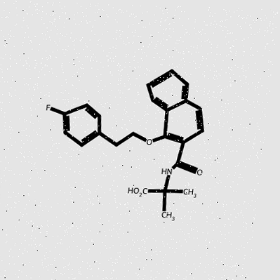 CC(C)(NC(=O)c1ccc2ccccc2c1OCCc1ccc(F)cc1)C(=O)O